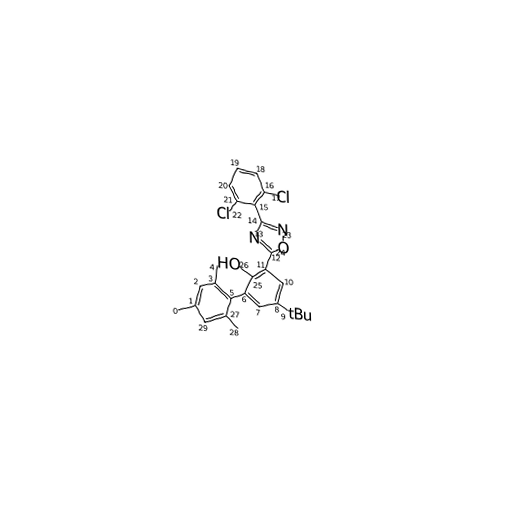 Cc1cc(C)c(-c2cc(C(C)(C)C)cc(-c3nc(-c4c(Cl)cccc4Cl)no3)c2O)c(C)c1